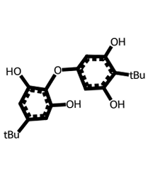 CC(C)(C)c1cc(O)c(Oc2cc(O)c(C(C)(C)C)c(O)c2)c(O)c1